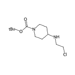 CC(C)(C)OC(=O)N1CCC(NCCCl)CC1